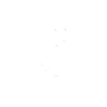 NC(=O)C1(CCCCn2cnc3c(N)nc4ccccc4c32)CNCCO1